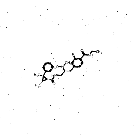 CCNC(=O)c1ccc(C[C@@H](CNC(=O)[C@@H]2[C@H](C)[C@]2(C)c2ccccc2)N(C)C)cc1F